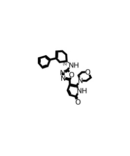 O=c1ccc(-c2nnc(N[C@H]3CCC=C(c4ccccc4)C3)o2)c(N2CCOCC2)[nH]1